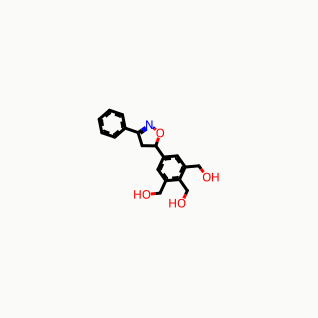 OCc1cc(C2CC(c3ccccc3)=NO2)cc(CO)c1CO